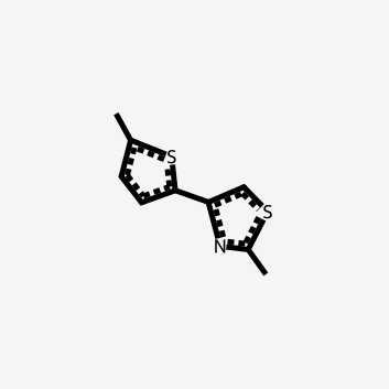 Cc1ccc(-c2csc(C)n2)s1